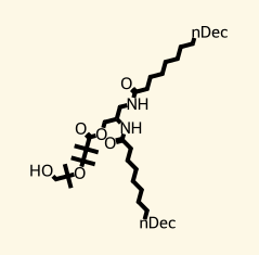 CCCCCCCCCCCCCCCCCC(=O)NCC(COC(=O)C(C)(C)C(C)(C)OC(C)(C)CO)NC(=O)CCCCCCCCCCCCCCCCC